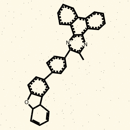 Cc1nc2c3ccccc3c3ccccc3c2nc1-c1ccc(-c2ccc3c(c2)C2C=CC=CC2O3)cc1